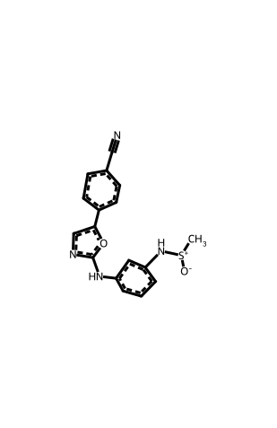 C[S+]([O-])Nc1cccc(Nc2ncc(-c3ccc(C#N)cc3)o2)c1